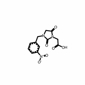 O=C(O)CN1C(=O)CN(Cc2cccc([N+](=O)[O-])c2)C1=O